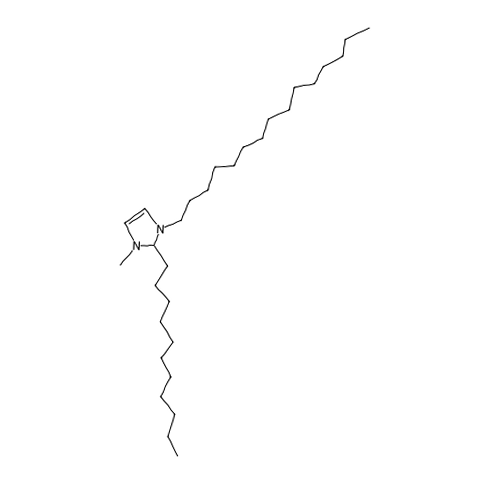 CCCCCCCCCCCCCCCN1C=CN(C)C1CCCCCCCCCCC